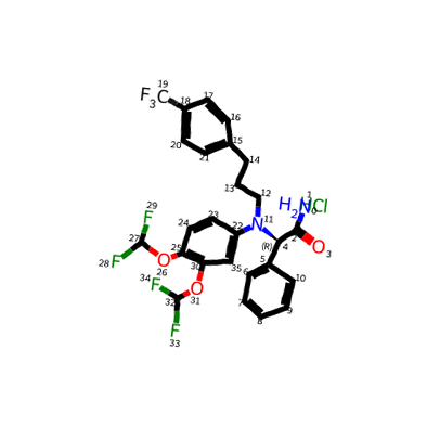 Cl.NC(=O)[C@@H](c1ccccc1)N(CCCc1ccc(C(F)(F)F)cc1)c1ccc(OC(F)F)c(OC(F)F)c1